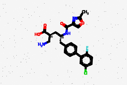 Cc1nc(C(=O)N[C@H](Cc2ccc(-c3cc(Cl)ccc3F)cc2)C[C@@H](CN)C(=O)O)co1